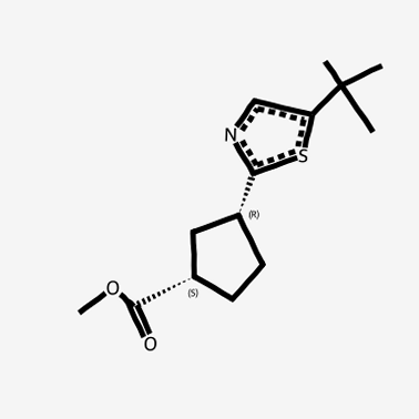 COC(=O)[C@H]1CC[C@@H](c2ncc(C(C)(C)C)s2)C1